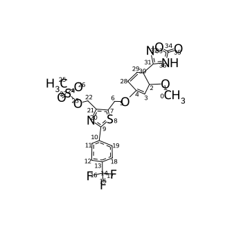 COC1C=C(OCc2sc(-c3ccc(C(F)(F)F)cc3)nc2COS(C)(=O)=O)C=CC1c1noc(=O)[nH]1